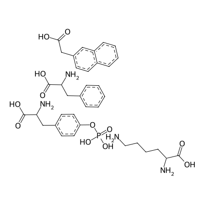 NC(Cc1ccc(OP(=O)(O)O)cc1)C(=O)O.NC(Cc1ccccc1)C(=O)O.NCCCCC(N)C(=O)O.O=C(O)Cc1ccc2ccccc2c1